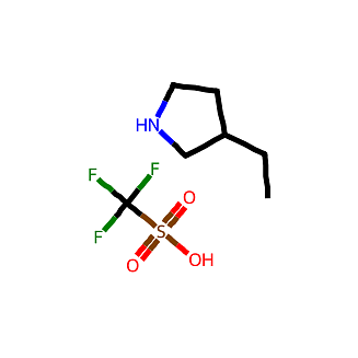 CCC1CCNC1.O=S(=O)(O)C(F)(F)F